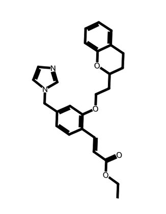 CCOC(=O)C=Cc1ccc(Cn2ccnc2)cc1OCCC1CCc2ccccc2O1